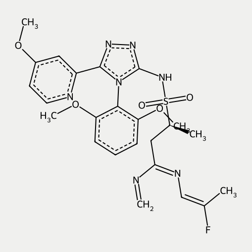 C=N/C(C[C@H](C)S(=O)(=O)Nc1nnc(-c2cc(OC)ccn2)n1-c1c(OC)cccc1OC)=N\C=C(/C)F